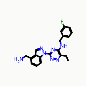 CCc1nnc(-n2ncc3c(CN)cccc32)nc1NCc1cccc(F)c1